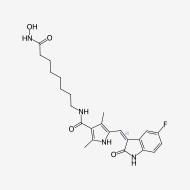 Cc1[nH]c(/C=C2\C(=O)Nc3ccc(F)cc32)c(C)c1C(=O)NCCCCCCCC(=O)NO